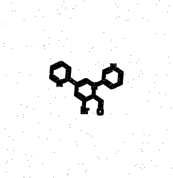 O=CC1C(Br)=CC(c2ccccn2)=CN1c1cccnc1